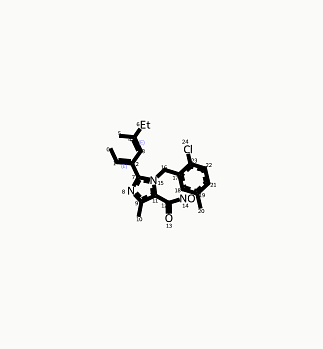 C/C=C(\C=C(/C)CC)c1nc(C)c(C(=O)N=O)n1Cc1cc(C)ccc1Cl